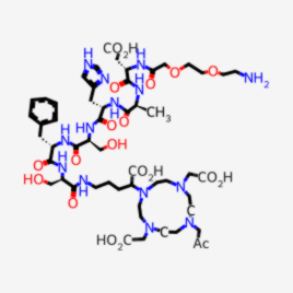 CC(=O)CN1CCN(CC(=O)O)CCN(C(CCCNC(=O)[C@@H](CO)NC(=O)[C@H](Cc2ccccc2)NC(=O)[C@H](CO)NC(=O)[C@H](Cc2c[nH]cn2)NC(=O)[C@H](C)NC(=O)[C@H](CC(=O)O)NC(=O)COCCOCCN)C(=O)O)CCN(CC(=O)O)CC1